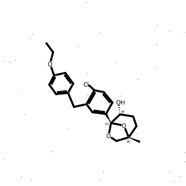 CCOc1ccc(Cc2cc([C@@]34OC[C@@](C)(CC[C@H]3O)O4)ccc2Cl)cc1